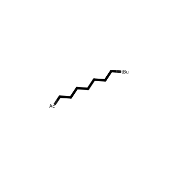 CC(=O)CCCCCCCC(C)(C)C